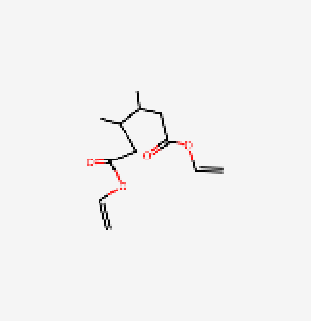 C=COC(=O)CC(C)C(C)CC(=O)OC=C